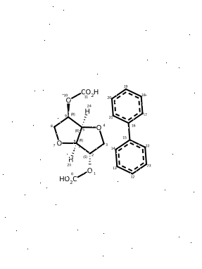 O=C(O)O[C@H]1CO[C@H]2[C@@H]1OC[C@H]2OC(=O)O.c1ccc(-c2ccccc2)cc1